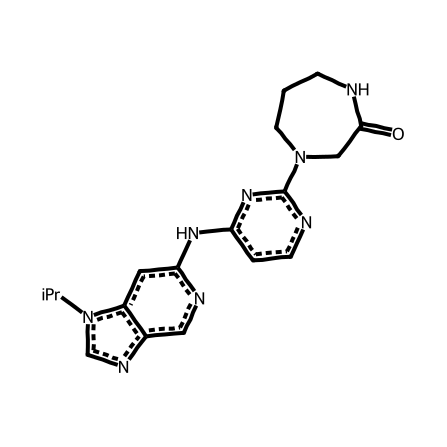 CC(C)n1cnc2cnc(Nc3ccnc(N4CCCNC(=O)C4)n3)cc21